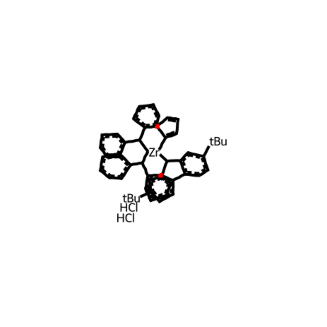 CC(C)(C)c1ccc2c(c1)[CH]([Zr]([C]1=CC=CC1)=[C](C(c1ccccc1)c1ccccc1)C(c1ccccc1)c1ccccc1)c1cc(C(C)(C)C)ccc1-2.Cl.Cl